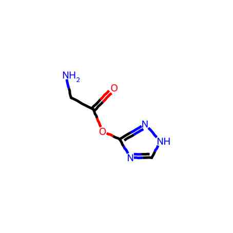 NCC(=O)Oc1nc[nH]n1